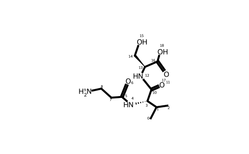 CC(C)[C@H](NC(=O)CCN)C(=O)N[C@@H](CO)C(=O)O